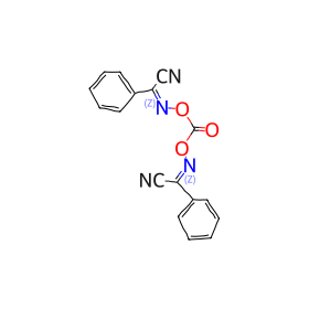 N#C/C(=N\OC(=O)O/N=C(\C#N)c1ccccc1)c1ccccc1